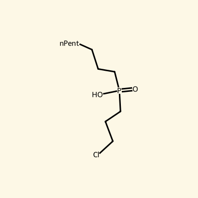 CCCCCCCCP(=O)(O)CCCCl